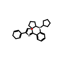 C1=CC(c2coc(-c3ccccc3P(C3CCCC3)C3CCCC3)n2)=CCC1